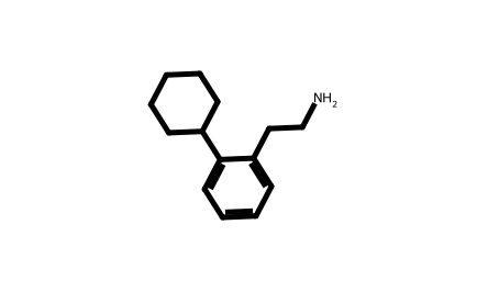 NCCc1ccccc1C1CCCCC1